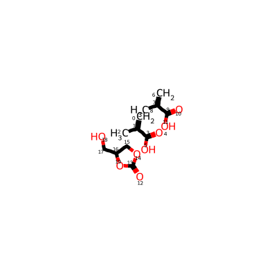 C=C(C)C(=O)O.C=C(C)C(=O)O.O=C1OCC(CO)O1